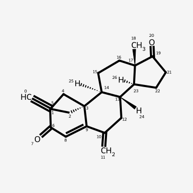 C#CC[C@@]12CCC(=O)C=C1C(=C)C[C@@H]1[C@@H]2CC[C@]2(C)C(=O)CC[C@@H]12